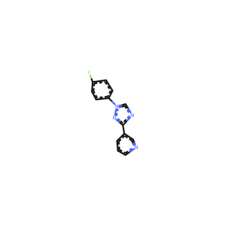 Fc1ccc(-n2cnc(-c3cccnc3)n2)cc1